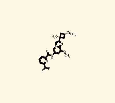 COc1cc(NC(=O)c2cccc(C(F)F)n2)cn2cc([C@]3(C)C[C@@H](OC)C3)nc12